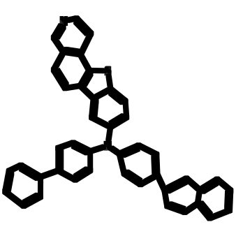 c1ccc(-c2ccc(N(c3ccc(-c4ccc5ccccc5c4)cc3)c3ccc4sc5c6ccncc6ccc5c4c3)cc2)cc1